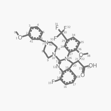 COc1cccc(N2CCN(C3=Nc4c(F)cccc4C([C@H](C)C(=O)O)N3c3cc(C(F)(F)F)ccc3OC)CC2)c1